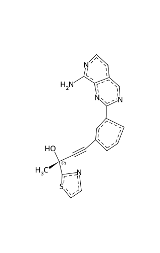 C[C@@](O)(C#Cc1cccc(-c2ncc3ccnc(N)c3n2)c1)c1nccs1